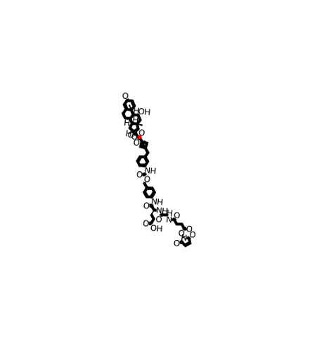 C[C@]12C=CC(=O)C=C1CC[C@@H]1[C@@H]2[C@@H](O)C[C@@]2(C)[C@H]1C[C@H]1O[C@H](C34CC(Cc5cccc(NC(=O)OCc6ccc(NC(=O)[C@H](CCC(=O)O)NC(=O)CNC(=O)CCC(=O)ON7C(=O)C=CC7=O)cc6)c5)(C3)C4)O[C@]12C(=O)CO